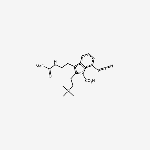 COC(=O)NCCc1c(CC[Si](C)(C)C)n(C(=O)O)c2c(N=[N+]=[N-])cccc12